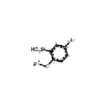 CC(=O)c1ccc(OC(C)C)c(S(=O)(=O)O)c1